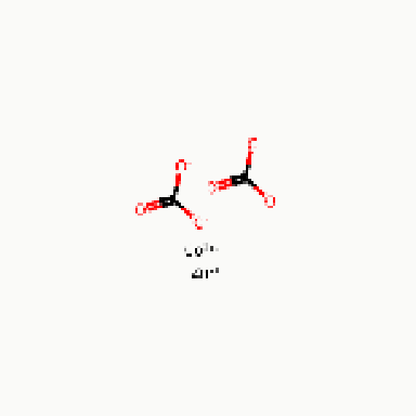 O=C([O-])[O-].O=C([O-])[O-].[Co+2].[Zn+2]